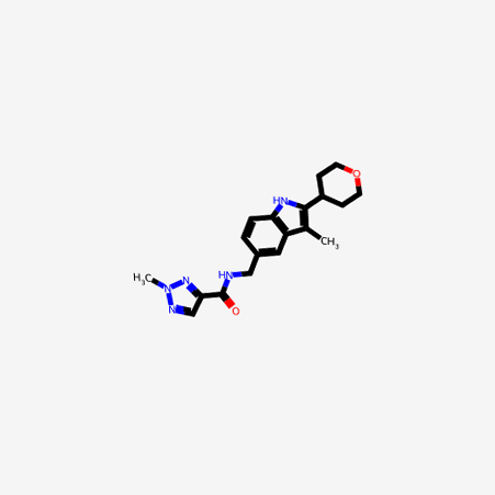 Cc1c(C2CCOCC2)[nH]c2ccc(CNC(=O)c3cnn(C)n3)cc12